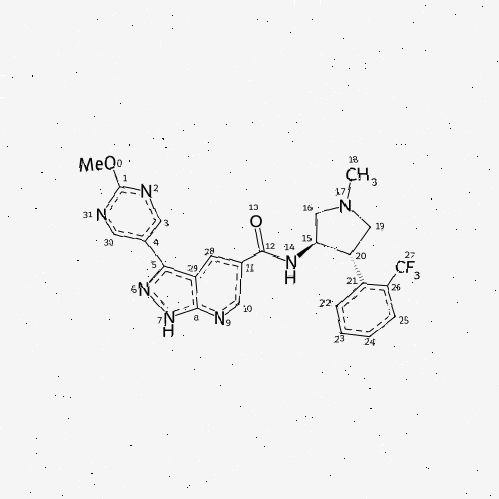 COc1ncc(-c2n[nH]c3ncc(C(=O)N[C@H]4CN(C)C[C@@H]4c4ccccc4C(F)(F)F)cc23)cn1